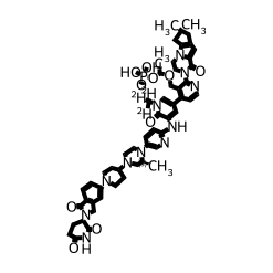 [2H]C([2H])([2H])n1cc(-c2ccnc(N3CCn4c(cc5c4CC(C)(C)C5)C3=O)c2COC(C)OP(=O)(O)O)cc(Nc2ccc(N3CCN(C4CCN(c5ccc6c(c5)CN(C5CCC(=O)NC5=O)C6=O)CC4)C[C@@H]3C)cn2)c1=O